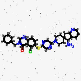 NC1c2cccnc2CC12CCN(c1cnc(Sc3ccc4ncn(Cc5ccccc5)c(=O)c4c3Cl)cn1)CC2